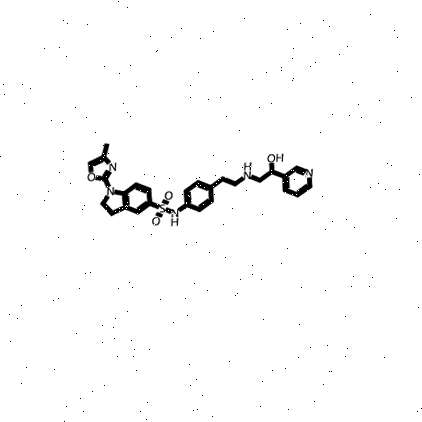 Cc1coc(N2CCc3cc(S(=O)(=O)Nc4ccc(CCNCC(O)c5cccnc5)cc4)ccc32)n1